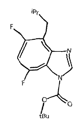 CC(C)Cc1c(F)cc(F)c2c1ncn2C(=O)OC(C)(C)C